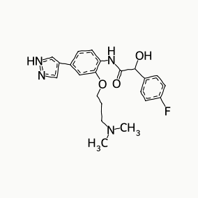 CN(C)CCCOc1cc(-c2cn[nH]c2)ccc1NC(=O)C(O)c1ccc(F)cc1